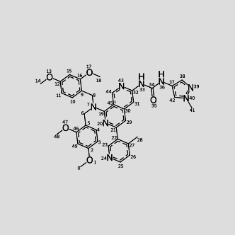 COc1ccc(CN(Cc2ccc(OC)cc2OC)c2nc(-c3cnccc3C)cc3cc(NC(=O)Nc4cnn(C)c4)ncc23)c(OC)c1